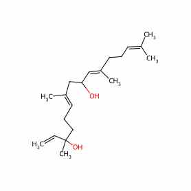 C=CC(C)(O)CCC=C(C)CC(O)/C=C(\C)CCC=C(C)C